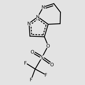 O=S(=O)(Oc1cnn2c1CCC=N2)C(F)(F)F